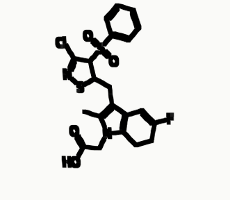 Cc1c(CC2SN=C(Cl)C2S(=O)(=O)c2ccccc2)c2c(n1CC(=O)O)CCC(F)=C2